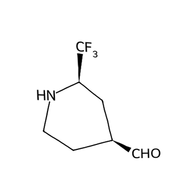 O=C[C@H]1CCN[C@@H](C(F)(F)F)C1